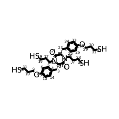 O=C1[C@H](Cc2ccc(OCCCS)cc2)N(CCCS)C(=O)[C@H](Cc2ccc(OCCCS)cc2)N1CCCS